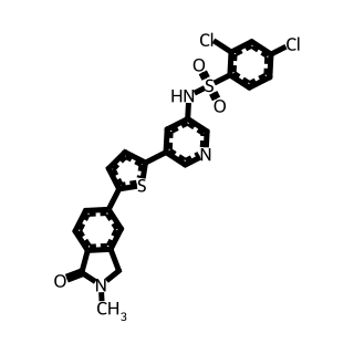 CN1Cc2cc(-c3ccc(-c4cncc(NS(=O)(=O)c5ccc(Cl)cc5Cl)c4)s3)ccc2C1=O